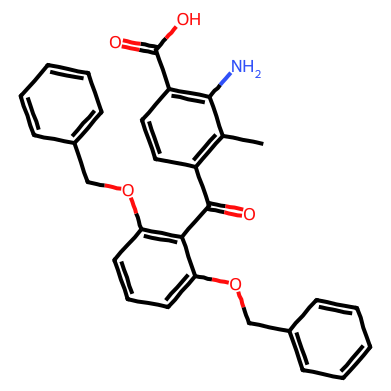 Cc1c(C(=O)c2c(OCc3ccccc3)cccc2OCc2ccccc2)ccc(C(=O)O)c1N